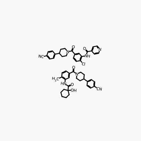 Cc1ccc(C(=O)N2CCC(c3ccc(C#N)cc3)CC2)cc1NC(=O)C1(O)CCCCC1.N#Cc1ccc(C2CCN(C(=O)c3ccc(Cl)c(NC(=O)c4ccncc4)c3)CC2)cc1